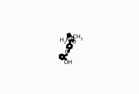 CN(C(=O)[C@@H](N)C1CCC(COCc2ccccc2CO)CC1)C1CCC1